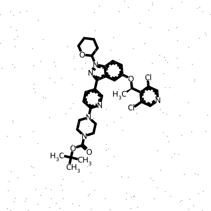 C[C@@H](Oc1ccc2c(c1)c(-c1ccc(N3CCN(C(=O)OC(C)(C)C)CC3)nc1)nn2C1CCCCO1)c1c(Cl)cncc1Cl